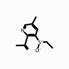 C=C(C)c1ncc(C)cc1[S+]([O-])CC